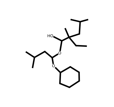 CCC(C)(CC(C)C)C(O)OC(CC(C)C)OC1CCCCC1